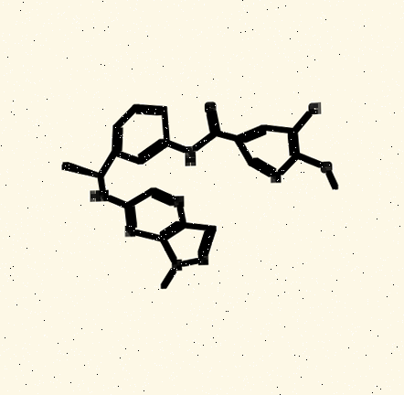 COc1ncc(C(=O)Nc2cccc([C@H](C)Nc3cnc4cnn(C)c4n3)c2)cc1Cl